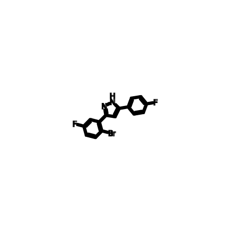 Fc1ccc(-c2cc(-c3cc(F)ccc3Br)n[nH]2)cc1